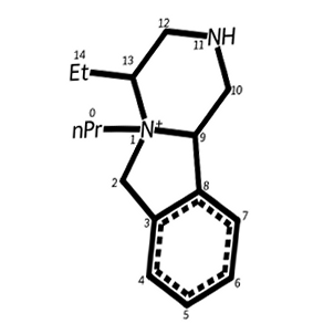 CCC[N+]12Cc3ccccc3C1CNCC2CC